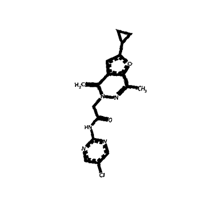 C=C1c2cc(C3CC3)oc2C(C)=NN1CC(=O)Nc1ncc(Cl)cn1